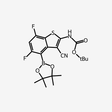 CC(C)(C)OC(=O)Nc1sc2c(F)cc(F)c(B3OC(C)(C)C(C)(C)O3)c2c1C#N